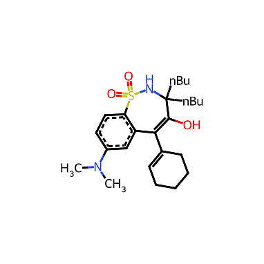 CCCCC1(CCCC)NS(=O)(=O)c2ccc(N(C)C)cc2C(C2=CCCCC2)=C1O